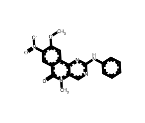 COc1cc2c(cc1[N+](=O)[O-])c(=O)n(C)c1cnc(Nc3ccccc3)nc21